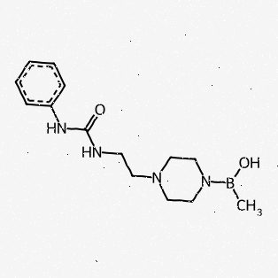 CB(O)N1CCN(CCNC(=O)Nc2ccccc2)CC1